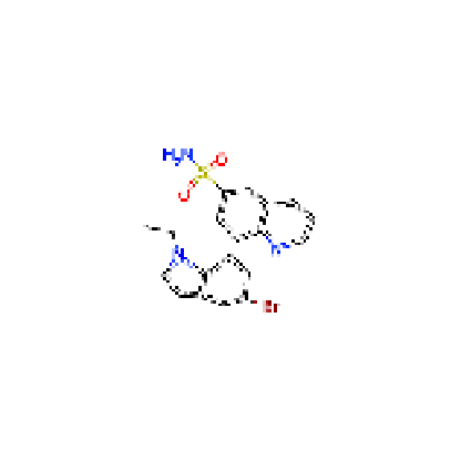 CCn1ccc2cc(Br)ccc21.NS(=O)(=O)c1ccc2ncccc2c1